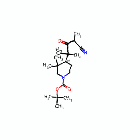 CC(C#N)C(=O)C(C)(C)[C@H]1CCN(C(=O)OC(C)(C)C)CC1(C)C